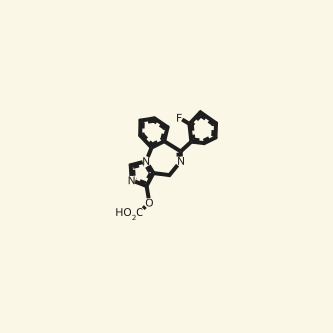 O=C(O)Oc1ncn2c1CN=C(c1ccccc1F)c1ccccc1-2